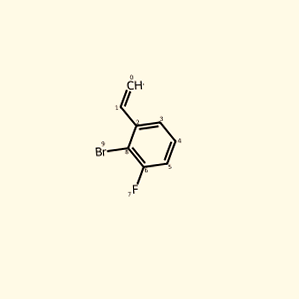 [CH]=Cc1cccc(F)c1Br